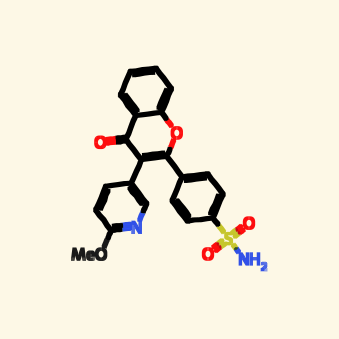 COc1ccc(-c2c(-c3ccc(S(N)(=O)=O)cc3)oc3ccccc3c2=O)cn1